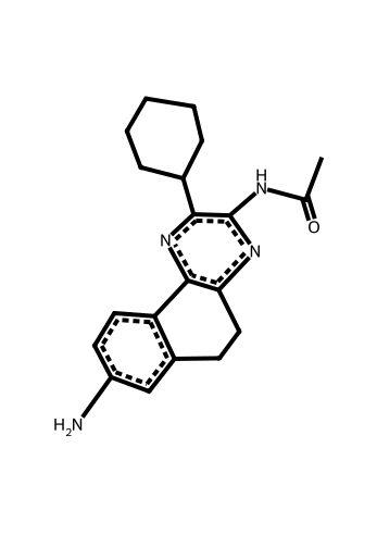 CC(=O)Nc1nc2c(nc1C1CCCCC1)-c1ccc(N)cc1CC2